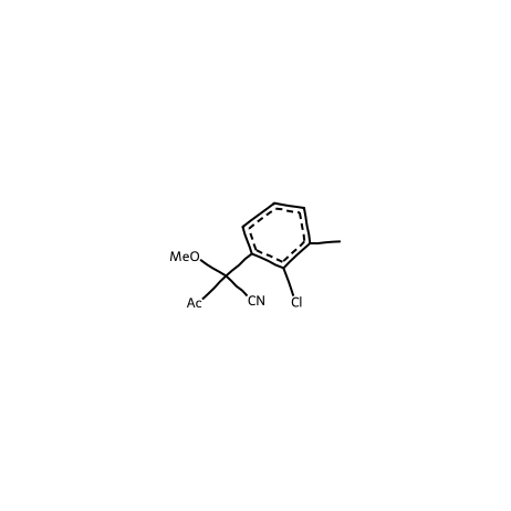 COC(C#N)(C(C)=O)c1cccc(C)c1Cl